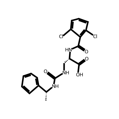 C[C@@H](NC(=O)NC[C@H](NC(=O)c1c(Cl)cccc1Cl)C(=O)O)c1ccccc1